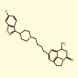 CC1CC(=O)N2CCc3cc(CCCCN4CCC(c5noc6cc(F)ccc56)CC4)cc1c32